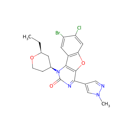 CC[C@H]1C[C@@H](n2c(=O)nc(-c3cnn(C)c3)c3oc4cc(Cl)c(Br)cc4c32)CCO1